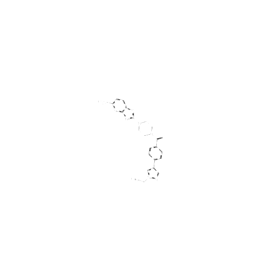 Cc1ccc2oc(N3CCN(C(=O)c4ccc(-c5cnn(CC(C)(C)C)c5)cc4)CC3)nc2n1